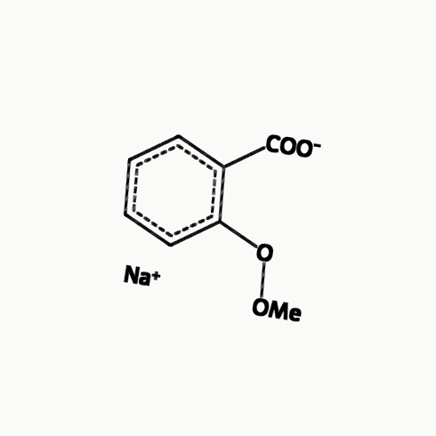 COOc1ccccc1C(=O)[O-].[Na+]